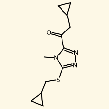 Cn1c(SCC2CC2)nnc1C(=O)CC1CC1